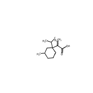 C=C(C(=O)O)C1(C(C)C)CCCC(C)C1